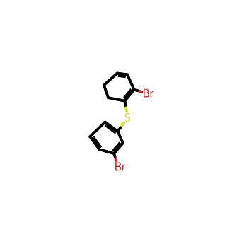 BrC1=C(Sc2cccc(Br)c2)CCC=C1